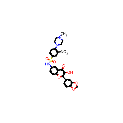 CN1CCN(c2ccc(S(=O)(=O)Nc3ccc4oc(-c5ccc6c(c5)OCO6)c(O)c(=O)c4c3)cc2[N+](=O)[O-])CC1